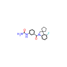 NC(=O)Nc1cccc(C(=O)N2CC3(CCCC3)c3c(F)cccc32)c1